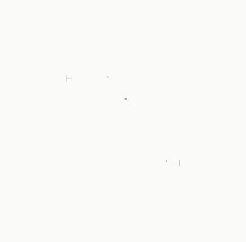 CCCCCCCC/C=C\CCCCCCCC(=O)OCCCCCCCCCCCCCCCCCCCCCCO